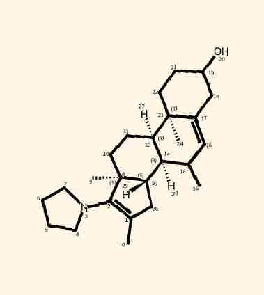 CC1=C(N2CCCC2)[C@@]2(C)CC[C@@H]3[C@@H](C(C)C=C4CC(O)CC[C@@]43C)[C@@H]2C1